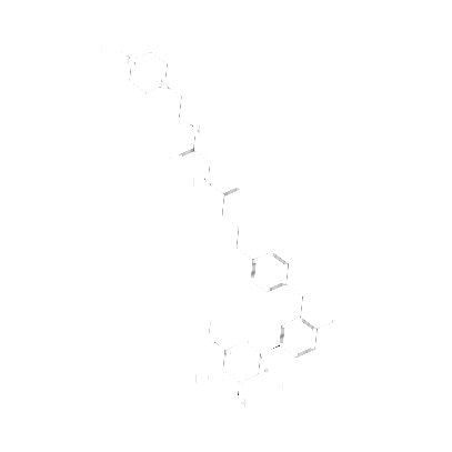 CS[C@H]1O[C@@H](c2ccc(C)c(Cc3ccc(CCCC(=O)NCC(=O)NCCN4CCN(C)CC4)cc3)c2)[C@H](O)[C@@H](O)[C@@H]1O